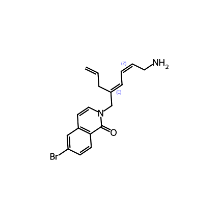 C=CC/C(=C\C=C/CN)Cn1ccc2cc(Br)ccc2c1=O